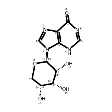 O=c1nc[nH]c2c1ncn2[C@@H]1OC[C@@H](O)[C@@H](O)[C@H]1O